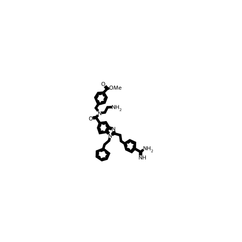 COC(=O)c1ccc(CN(CCN)C(=O)c2ccc3c(c2)nc(CCc2ccc(C(=N)N)cc2)n3CCc2ccccc2)cc1